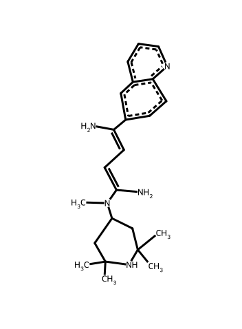 CN(/C(N)=C/C=C(\N)c1ccc2ncccc2c1)C1CC(C)(C)NC(C)(C)C1